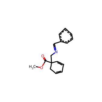 COC(=O)C1(CN=Cc2ccccc2)C=CC=CC1